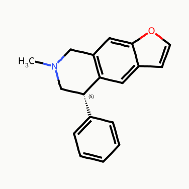 CN1Cc2cc3occc3cc2[C@H](c2ccccc2)C1